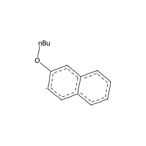 CCCCOc1[c]cc2ccccc2c1